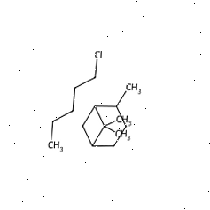 CC1CCC2CC1C2(C)C.CCCCCCl